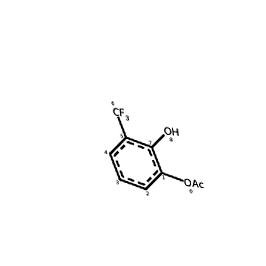 CC(=O)Oc1cccc(C(F)(F)F)c1O